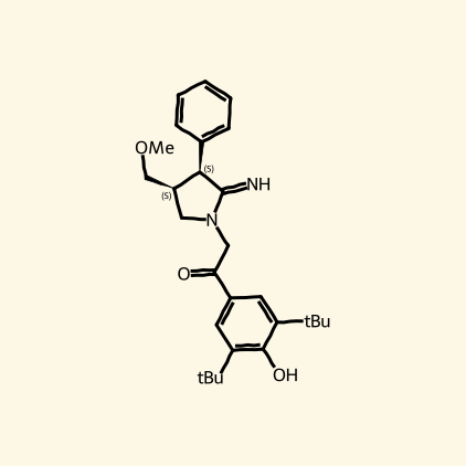 COC[C@@H]1CN(CC(=O)c2cc(C(C)(C)C)c(O)c(C(C)(C)C)c2)C(=N)[C@@H]1c1ccccc1